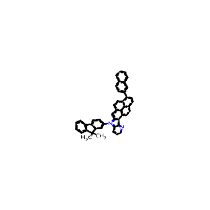 CC1(C)c2ccccc2-c2ccc(-n3c4cccnc4c4c5ccc6ccc(-c7ccc8ccccc8c7)c7ccc(cc43)c5c67)cc21